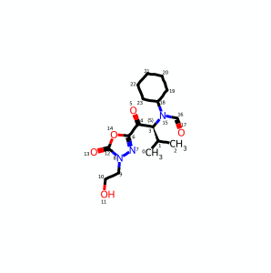 CC(C)[C@@H](C(=O)c1nn(CCO)c(=O)o1)N(C=O)C1CCCCC1